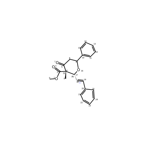 COC(=O)[C@]1(C)C(=O)CC(c2ccccc2)O[C@@H]1/C=C/c1ccccc1